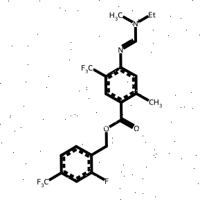 CCN(C)/C=N/c1cc(C)c(C(=O)OCc2ccc(C(F)(F)F)cc2F)cc1C(F)(F)F